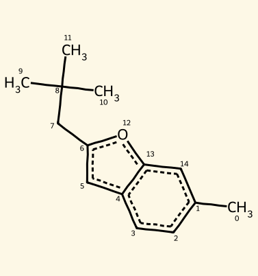 Cc1ccc2cc(CC(C)(C)C)oc2c1